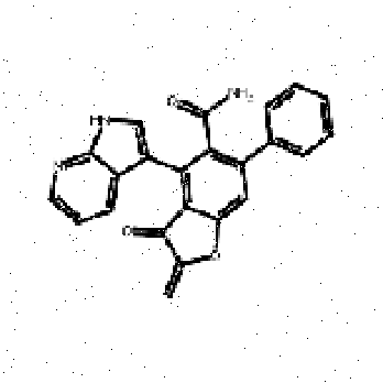 C=C1Oc2cc(-c3ccccc3)c(C(N)=O)c(-c3c[nH]c4ncccc34)c2C1=O